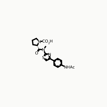 CC(=O)Nc1ccc(-c2csc(N(C)C(=O)[C@@H]3CCCN3C(=O)O)n2)cc1